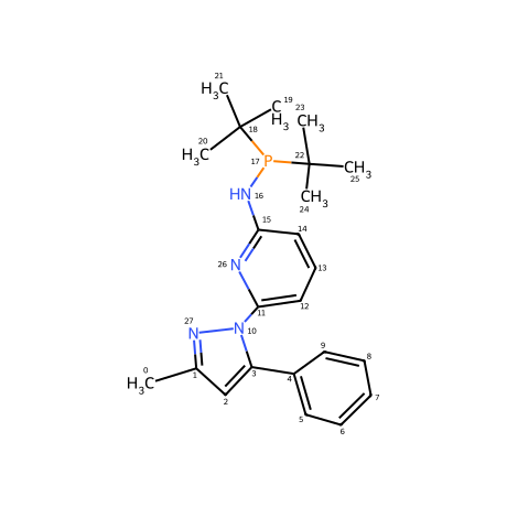 Cc1cc(-c2ccccc2)n(-c2cccc(NP(C(C)(C)C)C(C)(C)C)n2)n1